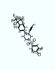 CC#CC1CN(S(=O)(=O)c2cnc(Cl)c(F)c2)CCN1c1ccc(C(O)(C(F)(F)F)C(F)(F)F)cc1